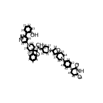 CN(C(=O)C1(c2ccccc2)CCN(c2cnnc(-c3ccccc3O)c2)CC1)C1CCN([C@H]2COC3(CCN(c4ccc([C@H]5CCC(=O)NC5=O)cc4)CC3)C2)CC1